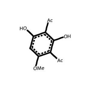 COc1cc(O)c(C(C)=O)c(O)c1C(C)=O